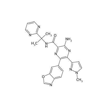 Cn1ccc(-c2nc(N)c(C(=O)NC(C)(C)c3ncccn3)nc2-c2ccc3ncoc3c2)n1